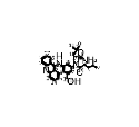 CC(C)CC(NC(=O)OC(C)(C)C)C(=O)Nc1cc(CO)cc(Nc2c3ccccc3nc3ccccc23)c1